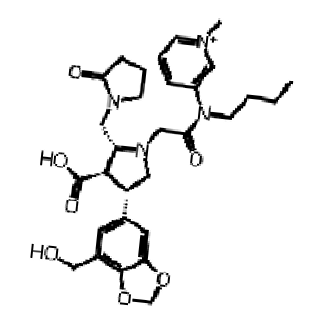 CCCCN(C(=O)CN1C[C@H](c2cc(CO)c3c(c2)OCO3)[C@@H](C(=O)O)[C@@H]1CN1CCCC1=O)c1ccc[n+](C)c1